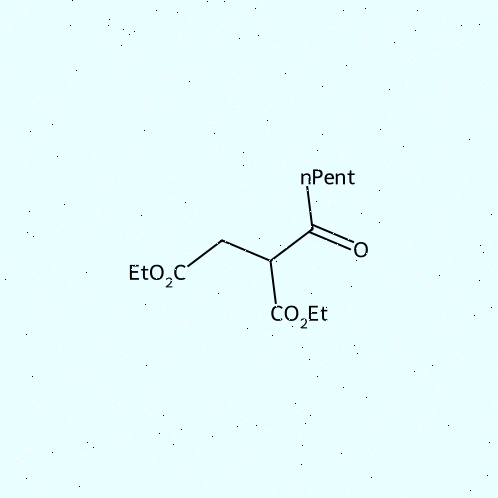 CCCCCC(=O)C(CC(=O)OCC)C(=O)OCC